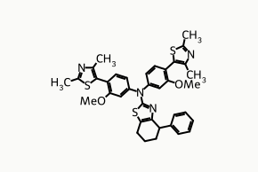 COc1cc(N(c2ccc(-c3sc(C)nc3C)c(OC)c2)c2nc3c(s2)CCCC3c2ccccc2)ccc1-c1sc(C)nc1C